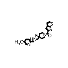 Cc1ccc(CNCC2(F)CCN(C(=O)c3cc4ccsc4s3)CC2)nc1